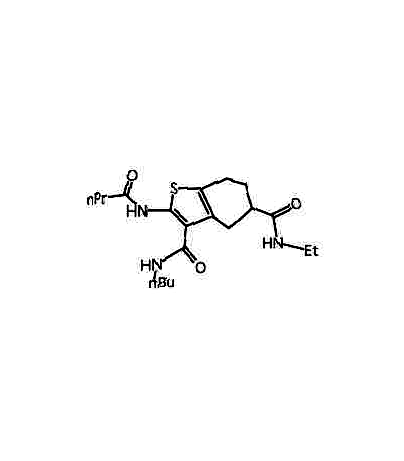 CCCCNC(=O)c1c(NC(=O)CCC)sc2c1CC(C(=O)NCC)CC2